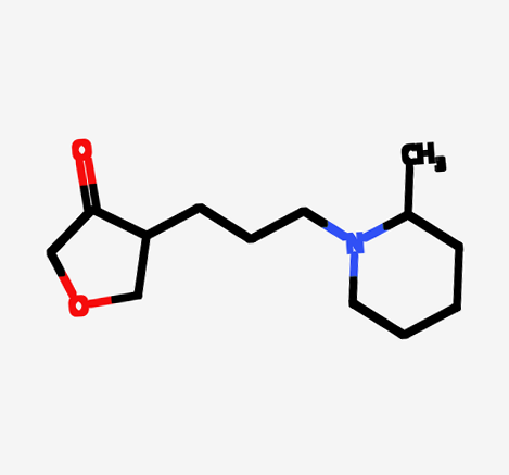 CC1CCCCN1CCCC1COCC1=O